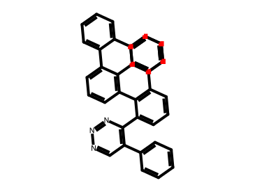 c1ccc(-c2cnnnc2-c2cccc(-c3ccccc3)c2-c2cccc3c4ccccc4c4ccccc4c23)cc1